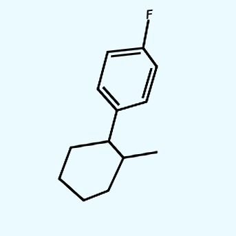 CC1CCCCC1c1ccc(F)cc1